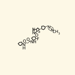 CN1CCN(Cc2ccc(-c3cc4ncnc(Oc5ccc(NC(=O)CC(=O)Nc6ccccc6)cc5F)c4s3)cc2)CC1